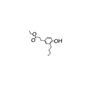 CCCCc1cc(CCC(=O)OCC)ccc1O